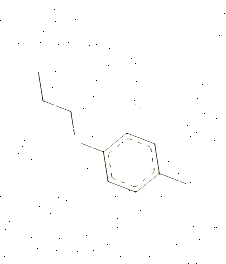 CCCOc1ccc(C)cc1.N